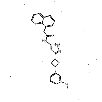 COc1cccc([C@H]2C[C@@H](c3cc(NC(=O)Cc4cccc5ccccc45)[nH]n3)C2)c1